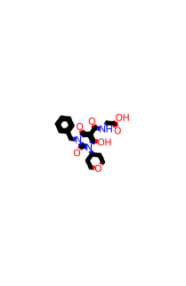 O=C(O)CNC(=O)c1c(O)n(C2CCOCC2)c(=O)n(Cc2ccccc2)c1=O